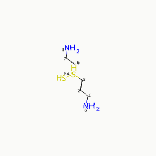 NCCC[SH](S)CCN